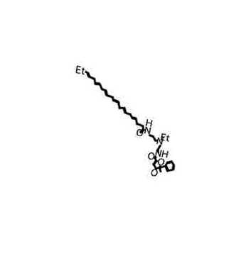 CCC=CCC=CCC=CCC=CCC=CCC=CCCC(=O)NCCCN(CC)CCNC(=O)C1=CC(=O)C(C)(c2ccccc2)O1